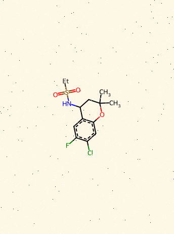 CCS(=O)(=O)NC1CC(C)(C)Oc2cc(Cl)c(F)cc21